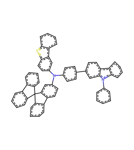 c1ccc(-n2c3ccccc3c3ccc(-c4ccc(N(c5ccc6c(c5)C5(c7ccccc7-c7ccccc75)c5ccccc5-6)c5ccc6sc7ccccc7c6c5)cc4)cc32)cc1